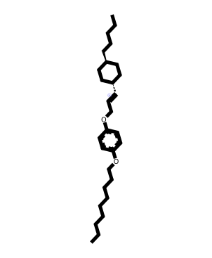 CCCCCCCCCOc1ccc(OC/C=C/[C@H]2CC[C@H](CCCCC)CC2)cc1